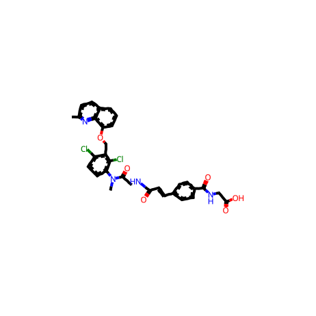 Cc1ccc2cccc(OCc3c(Cl)ccc(N(C)C(=O)CNC(=O)C=Cc4ccc(C(=O)NCC(=O)O)cc4)c3Cl)c2n1